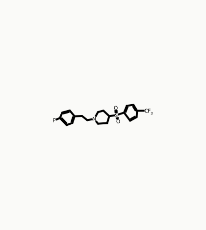 O=S(=O)(c1ccc(C(F)(F)F)cc1)C1CCN(CCc2ccc(F)cc2)CC1